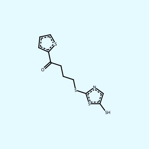 O=C(CCCSc1ncc(S)s1)c1cccs1